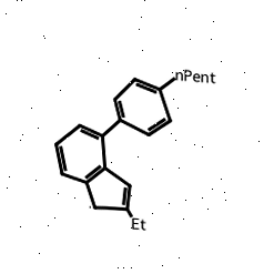 CCCCCc1ccc(-c2cccc3c2C=C(CC)[CH]3)cc1